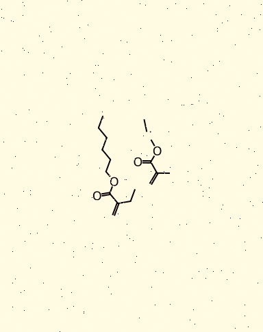 C=C(C)C(=O)OC.C=C(CC)C(=O)OCCCCCC.[CH2]C